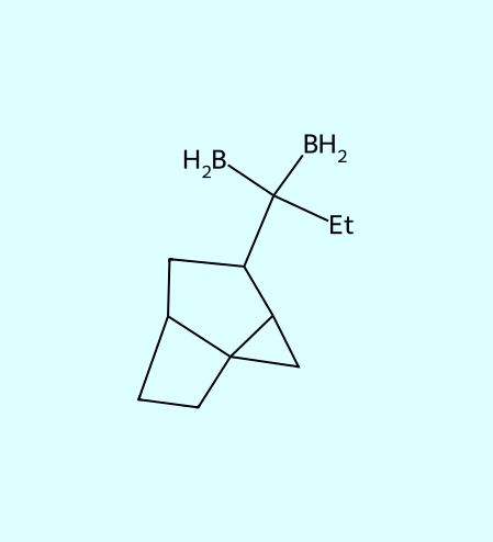 BC(B)(CC)C1CC2CCC23CC13